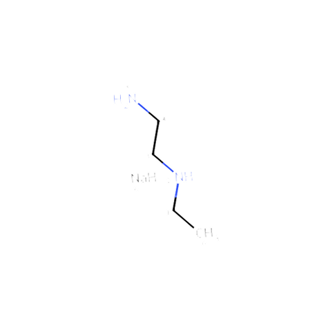 CCNCCN.[NaH]